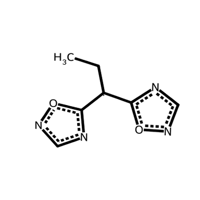 CC[C](c1ncno1)c1ncno1